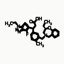 CC[C@@H]1CN(Cc2cc(C(CC(=O)O)c3ccc4c(nnn4CC)c3F)ccc2C)Cc2ccccc2O1